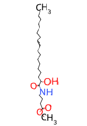 CCCCCCCCC=CCCCCCCCC(O)C(=O)NCCCC(=O)OC